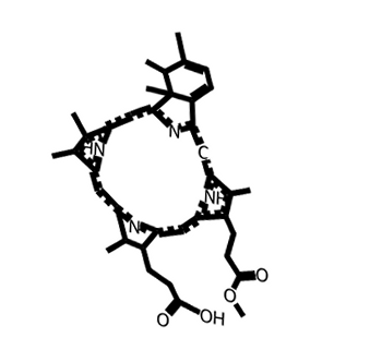 COC(=O)CCc1c(C)c2cc3nc(cc4[nH]c(cc5nc(cc1[nH]2)C(CCC(=O)O)C5C)c(C)c4C)C1(C)C3=CC=C(C)C1C